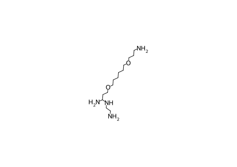 NCCCOCCCCCCOCCC(N)NCCN